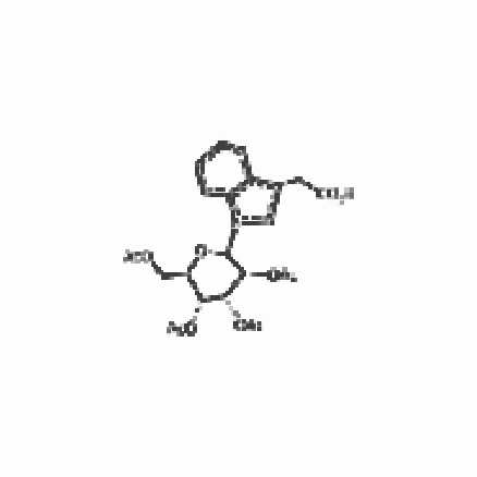 CC(=O)OC[C@H]1O[C@@H](n2cc(CC(=O)O)c3ccccc32)[C@@H](OC(C)=O)[C@H](OC(C)=O)[C@@H]1OC(C)=O